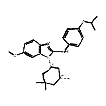 COc1ccc2nc(Nc3ccc(OC(C)C)cc3)n([C@@H]3C[C@H](C)CC(C)(C)C3)c2c1